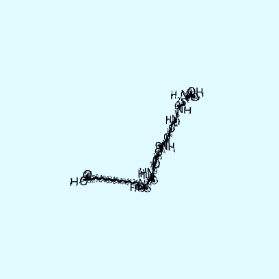 N[C@@H](CSCC(=O)NCCNC(=O)COCCOCCNC(=O)COCCOCCNC(=O)CC[C@H](NC(=O)CCCCCCCCCCCCCCC(=O)O)C(=O)O)C(=O)O